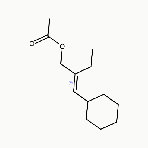 CC/C(=C\C1CCCCC1)COC(C)=O